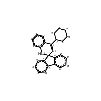 c1ccc2c(c1)NC1(N=C2C2CCCCC2)c2ccccc2-c2ccccc21